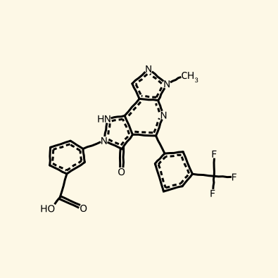 Cn1ncc2c3[nH]n(-c4cccc(C(=O)O)c4)c(=O)c3c(-c3cccc(C(F)(F)F)c3)nc21